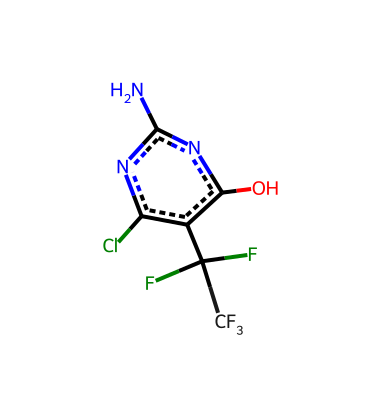 Nc1nc(O)c(C(F)(F)C(F)(F)F)c(Cl)n1